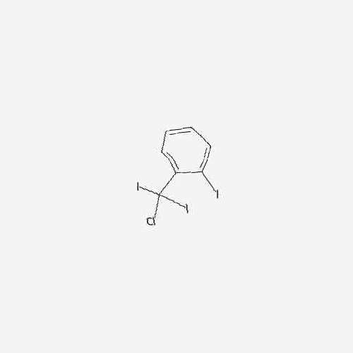 ClC(I)(I)c1ccccc1I